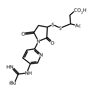 CCC(C)C(=N)Nc1ccc(N2C(=O)CC(SSC(CC(=O)O)C(C)=O)C2=O)nc1